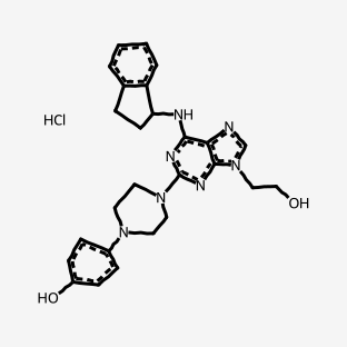 Cl.OCCn1cnc2c(NC3CCc4ccccc43)nc(N3CCN(c4ccc(O)cc4)CC3)nc21